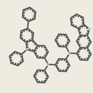 c1ccc(-c2ccc3c(c2)c2ccc(N(c4ccccc4)c4cccc(N(c5ccccc5)c5cccc6cc7oc8ccccc8c7cc56)c4)cc2n3-c2ccccc2)cc1